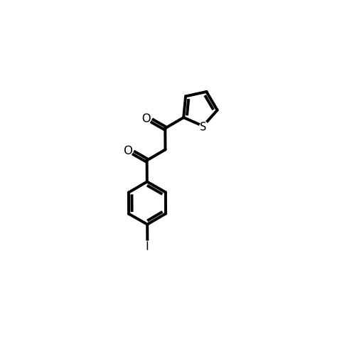 O=C(CC(=O)c1cccs1)c1ccc(I)cc1